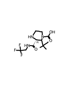 CC(C)(C)C1[C@H](C(=O)NCC(F)(F)F)NCCN1C(=O)O